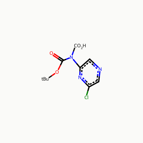 CC(C)(C)OC(=O)N(C(=O)O)c1cncc(Cl)n1